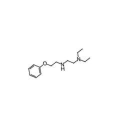 CCN(CC)CCNCCOc1ccccc1